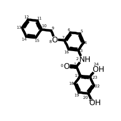 O=C(Nc1cccc(OCc2ccccc2)c1)c1ccc(O)cc1O